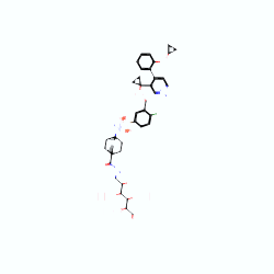 O=C(NCC(O)C(O)C(O)C(O)CO)C12CCC(NS(=O)(=O)c3ccc(Cl)c(COC4(c5cnccc5-c5ccccc5OC5CC5)CC4)c3)(CC1)CC2